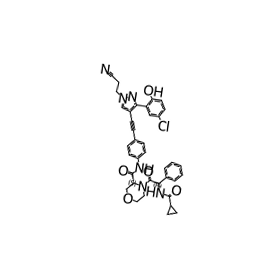 N#CCCn1cc(C#Cc2ccc(NC(=O)[C@@H]3COCCN3C(=O)[C@H](NC(=O)C3CC3)c3ccccc3)cc2)c(-c2cc(Cl)ccc2O)n1